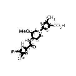 CO[C@H]1CN(c2nc(C)c(C(=O)O)s2)CC[C@H]1NC(=O)c1nc(Cl)c(C(C)C)[nH]1